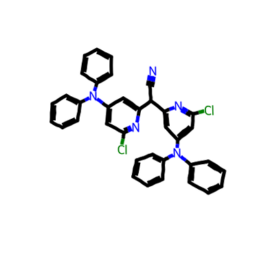 N#CC(c1cc(N(c2ccccc2)c2ccccc2)cc(Cl)n1)c1cc(N(c2ccccc2)c2ccccc2)cc(Cl)n1